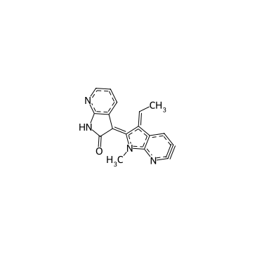 C/C=c1/c(=C2/C(=O)Nc3ncccc32)n(C)c2nc#ccc12